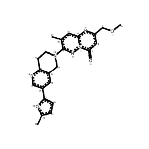 COCc1cc(=O)n2nc(N3CCc4ncc(-c5ccc(C)o5)cc4C3)c(C)cc2n1